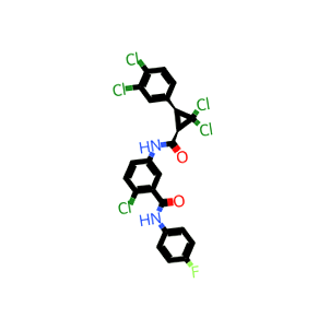 O=C(Nc1ccc(F)cc1)c1cc(NC(=O)[C@H]2[C@@H](c3ccc(Cl)c(Cl)c3)C2(Cl)Cl)ccc1Cl